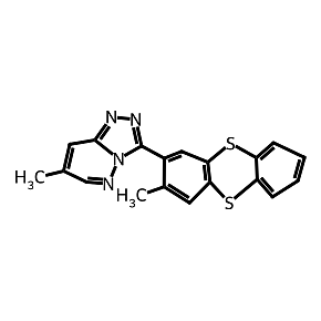 Cc1cnn2c(-c3cc4c(cc3C)Sc3ccccc3S4)nnc2c1